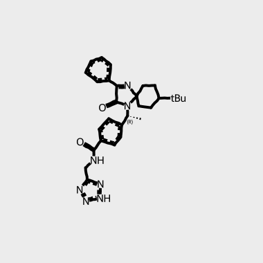 C[C@H](c1ccc(C(=O)NCc2nn[nH]n2)cc1)N1C(=O)C(c2ccccc2)=NC12CCC(C(C)(C)C)CC2